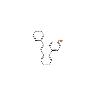 Br.C(=Cc1ccccc1-c1ccccc1)c1ccccc1